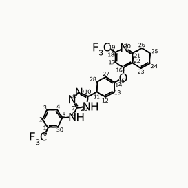 FC(F)(F)c1cccc(Nc2nnc(C3C=CC(Oc4cc(C(F)(F)F)nc5c4C=CCC5)=CC3)[nH]2)c1